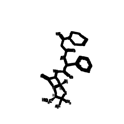 CC1(C)S[C@@H]2C(NC(=O)C(NC(=O)CC(=N)N3CCCCC3)c3ccccc3)C(=O)N2[C@H]1C(=O)O